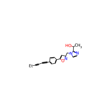 CCC#CC#Cc1ccc(-c2cc(Cn3ccnc3C(C)O)no2)cc1